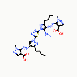 CCCCc1nn(-c2nnc(-n3nc(CCCC)c(/N=N/c4c(C(=O)O)cnn4C)c3N)s2)cc1/N=N/c1c(C(=O)O)cnn1C